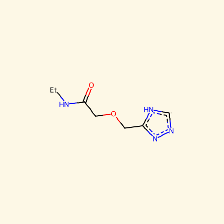 CCNC(=O)COCc1nn[c][nH]1